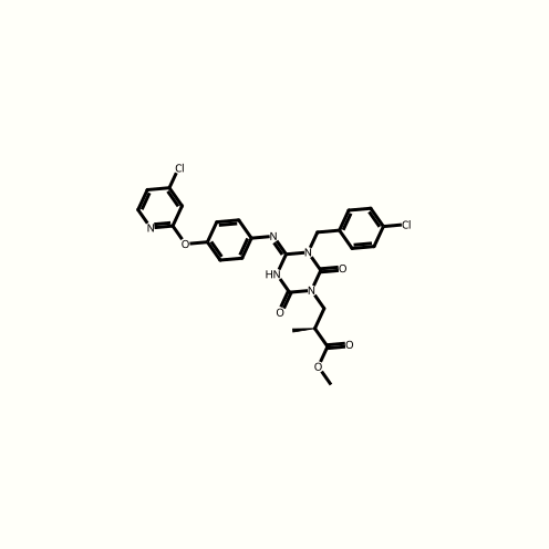 COC(=O)[C@@H](C)Cn1c(=O)[nH]/c(=N\c2ccc(Oc3cc(Cl)ccn3)cc2)n(Cc2ccc(Cl)cc2)c1=O